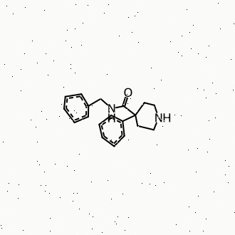 O=C(NCc1ccccc1)C1(c2ccccc2)CCNCC1